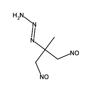 CC(CN=O)(CN=O)N=NN